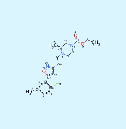 CCOC(=O)N1CCN(CCc2cc(-c3cc(C)ccc3F)on2)[C@@H](C)C1